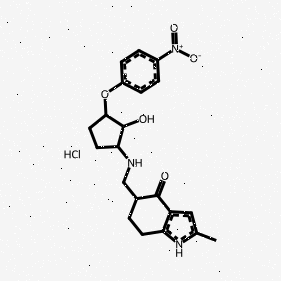 Cc1cc2c([nH]1)CCC(CNC1CCC(Oc3ccc([N+](=O)[O-])cc3)C1O)C2=O.Cl